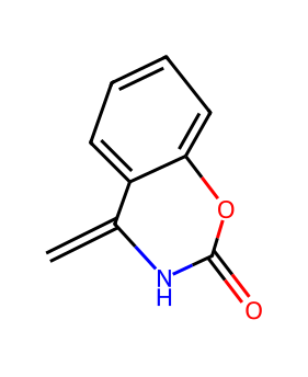 C=C1NC(=O)Oc2ccccc21